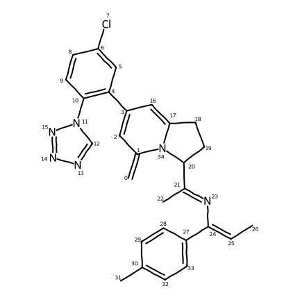 C=C1C=C(c2cc(Cl)ccc2-n2cnnn2)C=C2CCC(/C(C)=N/C(=C\C)c3ccc(C)cc3)N12